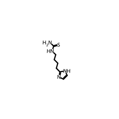 NC(=S)NCCCCc1ncc[nH]1